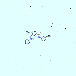 Cc1cccc(NC(=O)c2ccc(C)c(CNc3cccnc3)c2)c1